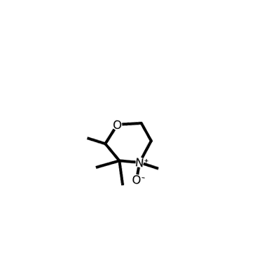 CC1OCC[N+](C)([O-])C1(C)C